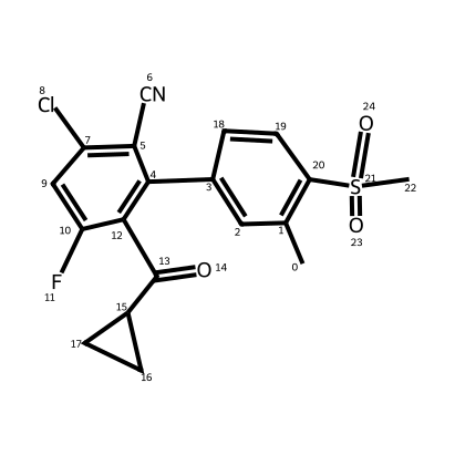 Cc1cc(-c2c(C#N)c(Cl)cc(F)c2C(=O)C2CC2)ccc1S(C)(=O)=O